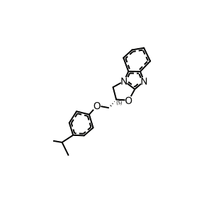 CC(C)c1ccc(OC[C@@H]2Cn3c(nc4ccccc43)O2)cc1